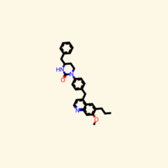 CCCc1cc2c(Cc3ccc(N4CCC(Cc5ccccc5)NC4=O)cc3)ccnc2cc1OC